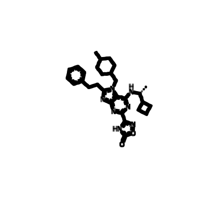 CC1CCC(Cn2c(CCc3ccccc3)nc3nc(-c4noc(=O)[nH]4)nc(N[C@H](C)C4CCC4)c32)CC1